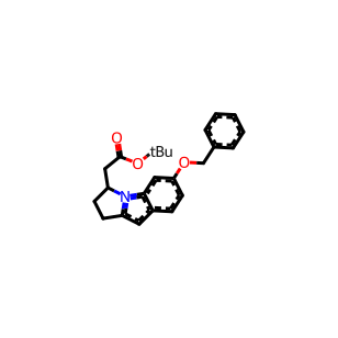 CC(C)(C)OC(=O)CC1CCc2cc3ccc(OCc4ccccc4)cc3n21